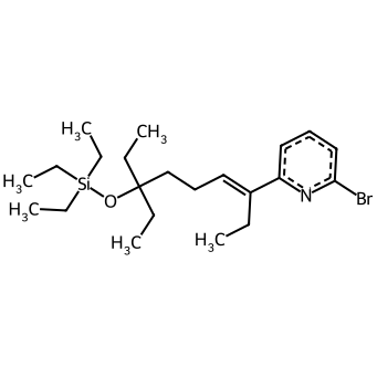 CC/C(=C\CCC(CC)(CC)O[Si](CC)(CC)CC)c1cccc(Br)n1